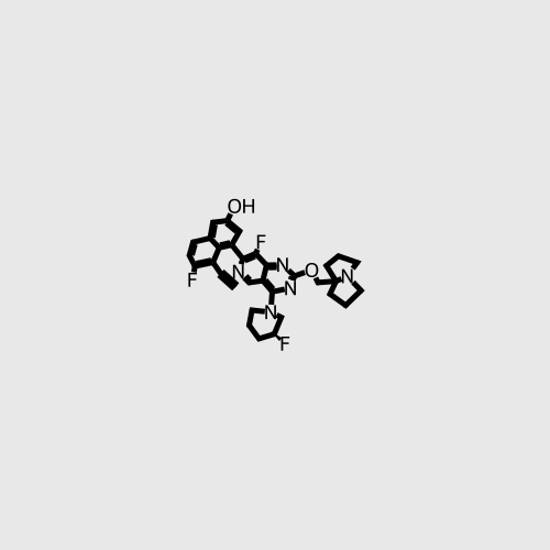 C#Cc1c(F)ccc2cc(O)cc(-c3ncc4c(N5CCC[C@H](F)C5)nc(OCC56CCCN5CCC6)nc4c3F)c12